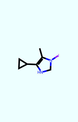 CC1=C(C2CC2)NCN1I